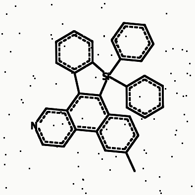 Cc1ccc2c3c(c4cnccc4c2c1)-c1ccccc1[Si]3(c1ccccc1)c1ccccc1